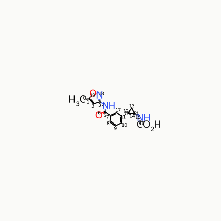 Cc1cc(NC(=O)c2cccc([C@@H]3C[C@H]3NC(=O)O)c2)no1